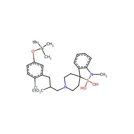 CCOC(=O)C(Cc1cc(O[Si](C)(C)C(C)(C)C)ccc1Cl)CN1CCC2(CC1)c1ccccc1N(C)S2(O)O